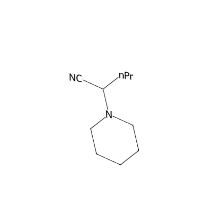 CCCC(C#N)N1CCCCC1